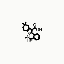 CN[C@H](C)c1ccccc1-c1sc2c(c1C(=O)O)CC(C)(C)CC2